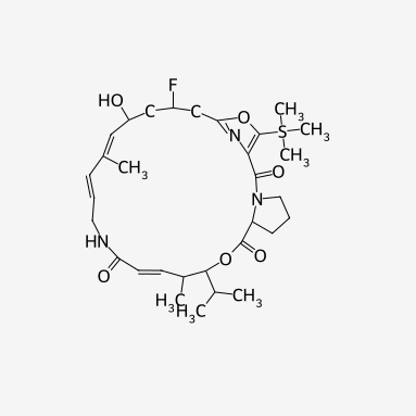 CC1=C\C(O)CC(F)Cc2nc(c(S(C)(C)C)o2)C(=O)N2CCCC2C(=O)OC(C(C)C)C(C)/C=C/C(=O)NC\C=C\1